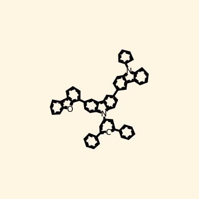 c1ccc(-c2cc(-c3ccccc3)cc(-n3c4ccc(-c5ccc6c(c5)c5ccccc5n6-c5ccccc5)cc4c4cc(-c5cccc6c5oc5ccccc56)ccc43)c2)cc1